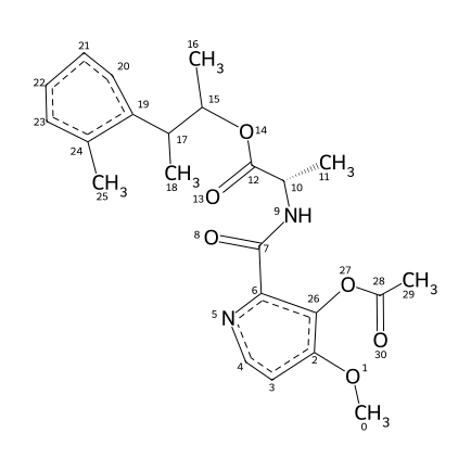 COc1ccnc(C(=O)N[C@@H](C)C(=O)OC(C)C(C)c2ccccc2C)c1OC(C)=O